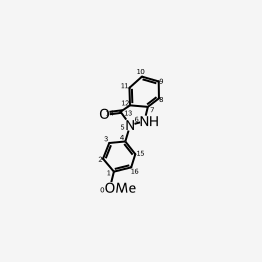 COc1ccc(-n2[nH]c3ccccc3c2=O)cc1